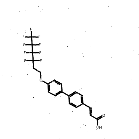 O=C(O)C=Cc1ccc(-c2ccc(OCCC(F)(F)C(F)(F)C(F)(F)C(F)(F)F)cc2)cc1